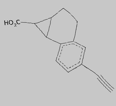 C#Cc1ccc2c(c1)CCC1C(C(=O)O)C21